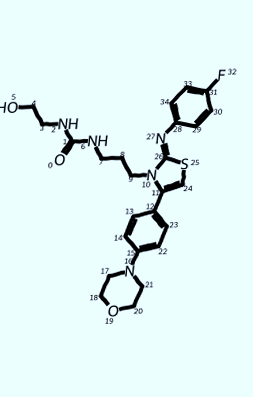 O=C(NCCO)NCCCn1c(-c2ccc(N3CCOCC3)cc2)cs/c1=N\c1ccc(F)cc1